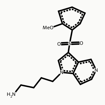 COc1ccccc1S(=O)(=O)c1cn(CCCCN)c2ccncc12